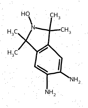 CC1(C)c2cc(N)c(N)cc2C(C)(C)N1O